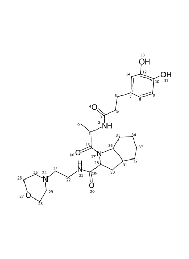 CC(NC(=O)CCc1ccc(O)c(O)c1)C(=O)N1C(C(=O)NCCN2CCOCC2)CC2CCCCC21